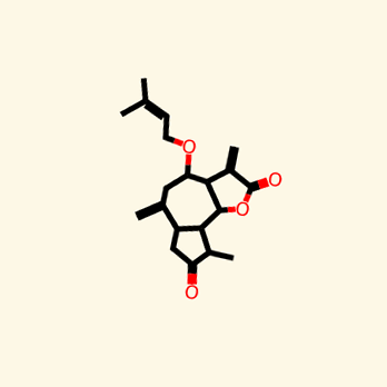 C=C1CC(OCC=C(C)C)C2C(=C)C(=O)OC2C2C(C)C(=O)CC12